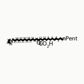 CCCCCC=CCC=CCCCCCCCC(CCCCCCCCCCCCCN1CCC1)OC(=O)O